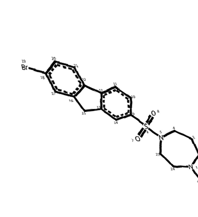 CN1CCCN(S(=O)(=O)c2ccc3c(c2)Cc2cc(Br)ccc2-3)CC1